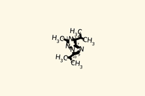 Cc1nc(C(C)C)c2ncc(C(C)C)n2n1